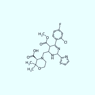 COC(=O)C1C(c2ccc(F)cc2Cl)=NC(c2nccs2)NC1CN1CCOC(C)(C)[C@H]1C(=O)O